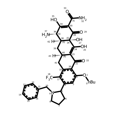 CCCCOc1cc(C2CCCN2Cc2ccccc2)c(C(F)(F)F)c2c1C(=O)C1=C(O)[C@]3(O)C(=O)C(C(N)=O)=C(O)[C@@H](N)[C@@H]3C[C@@H]1C2